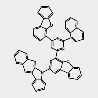 c1ccc2cc3c(cc2c1)c1ccccc1n3-c1cc(-c2nc(-c3cccc4ccccc34)nc(-c3cccc4c3oc3ccccc34)n2)c2oc3ccccc3c2c1